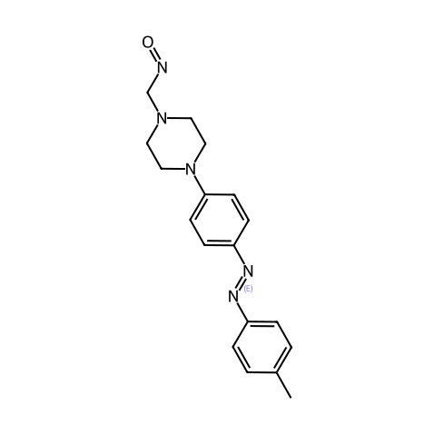 Cc1ccc(/N=N/c2ccc(N3CCN(CN=O)CC3)cc2)cc1